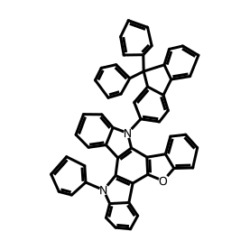 c1ccc(-n2c3ccccc3c3c4oc5ccccc5c4c4c(c5ccccc5n4-c4ccc5c(c4)C(c4ccccc4)(c4ccccc4)c4ccccc4-5)c32)cc1